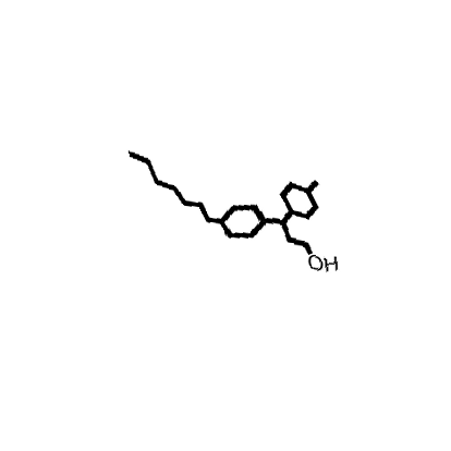 CCCCCCCC1CCC(C(CCO)C2CCC(C)CC2)CC1